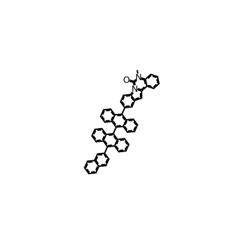 Cn1c(=O)n2c3ccc(-c4c5ccccc5c(-c5c6ccccc6c(-c6ccc7ccccc7c6)c6ccccc56)c5ccccc45)cc3cc2c2ccccc21